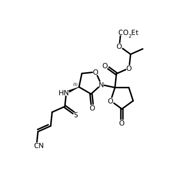 CCOC(=O)OC(C)OC(=O)C1(N2OC[C@H](NC(=S)CC=CC#N)C2=O)CCC(=O)O1